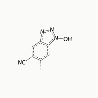 Cc1cc2c(cc1C#N)nnn2O